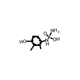 Cc1c(O)ccc(NP(N)(=O)O)c1C